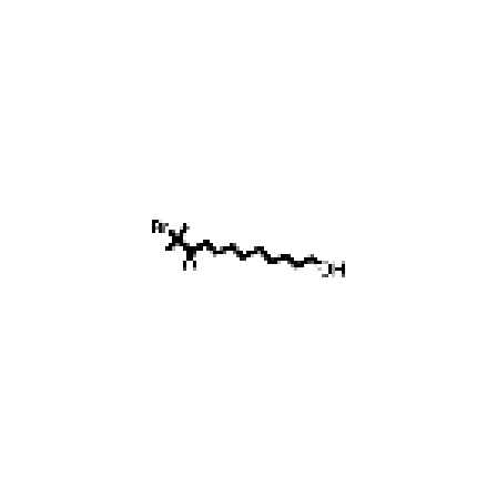 CC(C)(Br)C(=O)CCCCCCCCCO